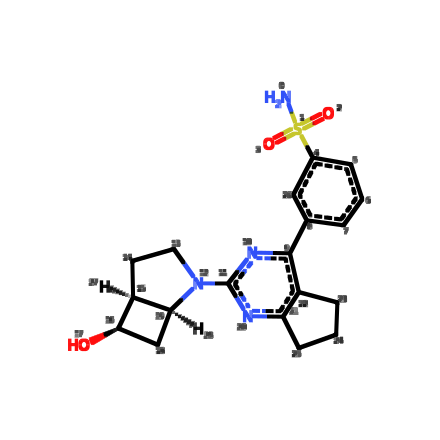 NS(=O)(=O)c1cccc(-c2nc(N3CC[C@@H]4[C@H](O)C[C@@H]43)nc3c2CCC3)c1